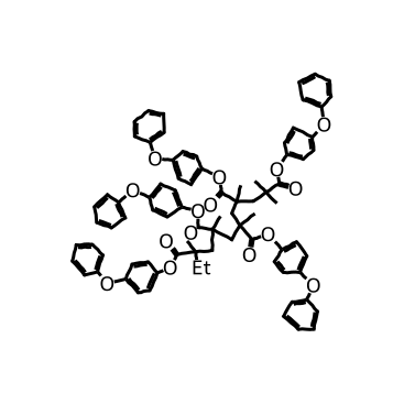 CCC(C)(CC(C)(CC(C)(CC(C)(CC(C)(C)C(=O)Oc1ccc(Oc2ccccc2)cc1)C(=O)Oc1ccc(Oc2ccccc2)cc1)C(=O)Oc1ccc(Oc2ccccc2)cc1)C(=O)Oc1ccc(Oc2ccccc2)cc1)C(=O)Oc1ccc(Oc2ccccc2)cc1